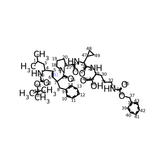 CC(C)CC(/C=C/C(Cc1ccccc1)C(=O)N1CCC[C@H]1C(=O)NC(C(=O)NC(CCCNC(=O)OCc1ccccc1)C(=O)O)C1CC1)NC(=O)OC(C)(C)C